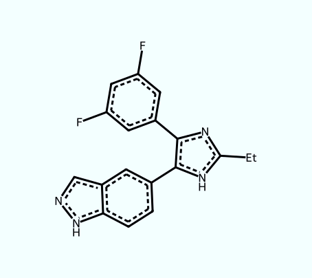 CCc1nc(-c2cc(F)cc(F)c2)c(-c2ccc3[nH]ncc3c2)[nH]1